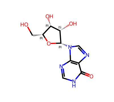 O=c1[nH]cnc2c1ncn2[C@@H]1O[C@H](CO)[C@H](O)[C@@H]1O